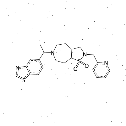 CC(c1ccc2scnc2c1)N1CCC2CN(Cc3ccccn3)S(=O)(=O)C2CC1